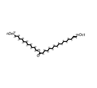 CCCCCCCCC=CCCCCCCCCCCCCCC(=O)OCCCCCCCCCCCCCCCCCCCCC